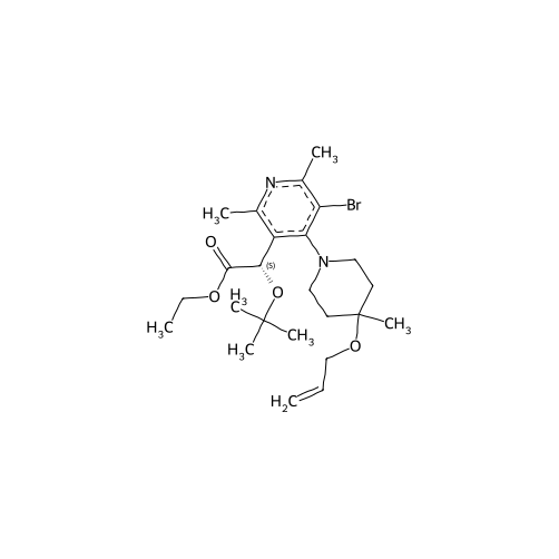 C=CCOC1(C)CCN(c2c(Br)c(C)nc(C)c2[C@H](OC(C)(C)C)C(=O)OCC)CC1